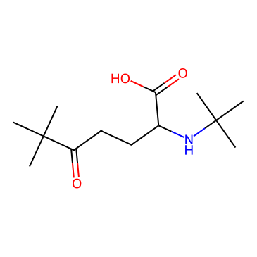 CC(C)(C)NC(CCC(=O)C(C)(C)C)C(=O)O